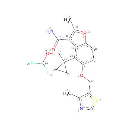 Cc1ncsc1COc1ccc2oc(C)c(C(N)=O)c2c1C1(COC(F)F)CC1